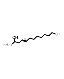 CCCCCCC(O)C/C=C/CCCCCCCO